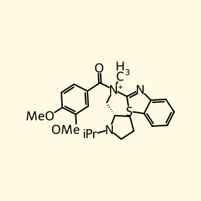 COc1ccc(C(=O)[N+](C)(C[C@@H]2CCCN2C(C)C)c2nc3ccccc3s2)cc1OC